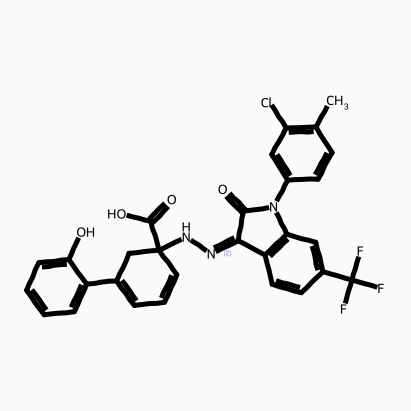 Cc1ccc(N2C(=O)/C(=N\NC3(C(=O)O)C=CC=C(c4ccccc4O)C3)c3ccc(C(F)(F)F)cc32)cc1Cl